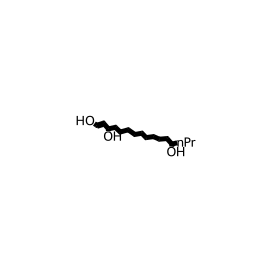 CCCC(O)CCCCCCCCCC(O)C=CO